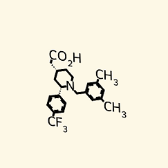 Cc1cc(C)cc(CN2CC[C@@H](CC(=O)O)C[C@H]2c2ccc(C(F)(F)F)cc2)c1